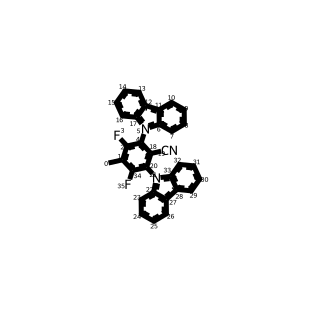 Cc1c(F)c(-n2c3ccccc3c3ccccc32)c(C#N)c(-n2c3ccccc3c3ccccc32)c1F